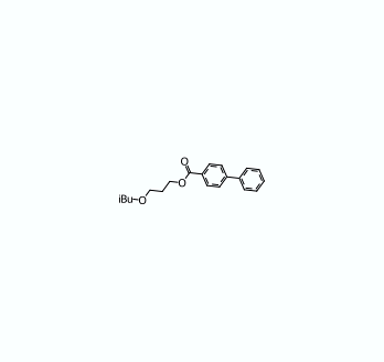 CCC(C)OCCCOC(=O)c1ccc(-c2ccccc2)cc1